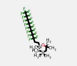 CC1(C)C[Si](C)(C)[SiH2][Si](C)(CCC(F)(F)C(F)(F)C(F)(F)C(F)(F)C(F)(F)C(F)(F)C(F)(F)C(F)(F)F)O1